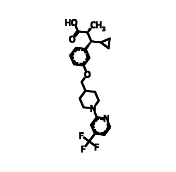 C[C@H](C(=O)O)[C@H](c1cccc(OCC2CCN(c3cc(C(F)(F)F)ccn3)CC2)c1)C1CC1